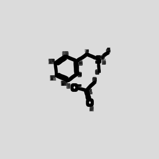 CC(=O)[O-].C[S+](C)Cc1ccccc1